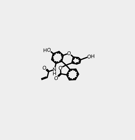 C=CC(=O)Nc1cc(O)cc2c1C1(OC(=O)c3ccccc31)c1ccc(O)cc1O2